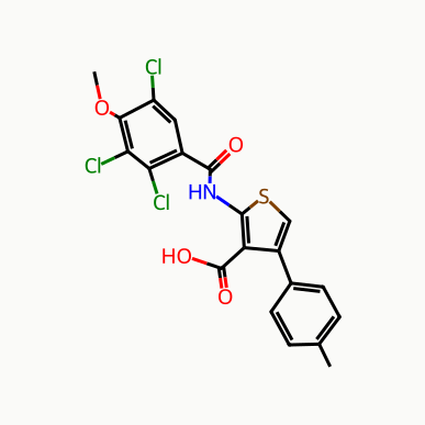 COc1c(Cl)cc(C(=O)Nc2scc(-c3ccc(C)cc3)c2C(=O)O)c(Cl)c1Cl